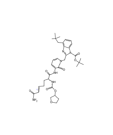 CC(C)(C)Cc1cccc2c1nc(Cn1cccc(NC(=O)C(CC/C=C/C(N)=O)NC(=O)OC3CCOC3)c1=O)n2C(=O)OC(C)(C)C